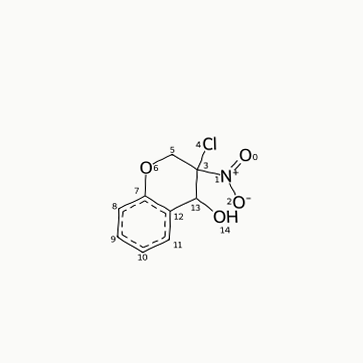 O=[N+]([O-])C1(Cl)COc2ccccc2C1O